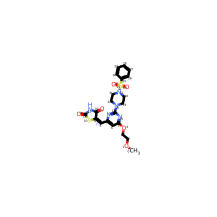 COCCOc1cc(/C=C2/SC(=O)NC2=O)nc(N2CCN(S(=O)(=O)c3ccccc3)CC2)n1